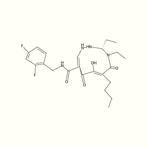 CCCC/C1=C(/O)C(=O)/C(C(=O)NCc2ccc(F)cc2F)=C\NN[C@H](CC)N(CC)C1=O